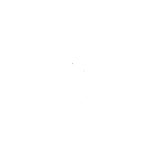 COc1ccnc(N2CCOC3(CCNCC3)C2)n1